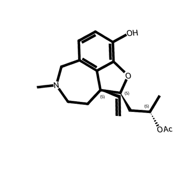 C=C[C@@]12CCN(C)Cc3ccc(O)c(c31)O[C@H]2C[C@H](C)OC(C)=O